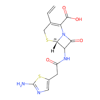 C=CC1=C(C(=O)O)N2C(=O)C(NC(=O)Cc3cnc(N)s3)[C@@H]2SC1